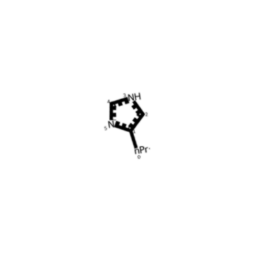 CC[CH]c1c[nH]cn1